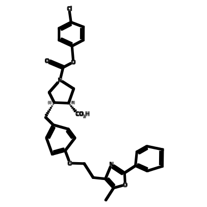 Cc1oc(-c2ccccc2)nc1CCOc1ccc(C[C@@H]2CN(C(=O)Oc3ccc(Cl)cc3)C[C@@H]2C(=O)O)cc1